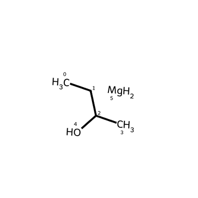 CCC(C)O.[MgH2]